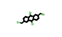 BrCc1ccc2c(Br)c3cc(CBr)ccc3c(Br)c2c1